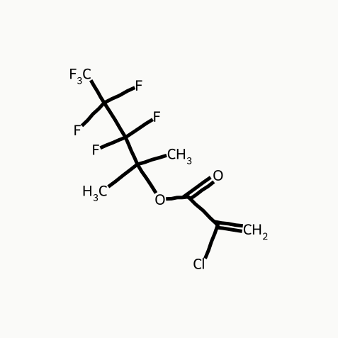 C=C(Cl)C(=O)OC(C)(C)C(F)(F)C(F)(F)C(F)(F)F